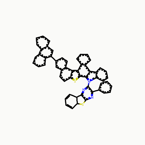 C1=CC2Sc3nc(-c4ccccc4)c(-n4c5ccccc5c5c6ccccc6c6c(sc7ccc8cc(-c9cc%10ccccc%10c%10ccccc9%10)ccc8c76)c54)nc3C2C=C1